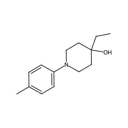 CCC1(O)CCN(c2ccc(C)cc2)CC1